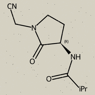 CC(C)C(=O)N[C@@H]1CCN(CC#N)C1=O